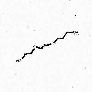 SCCCOCCOCCS